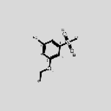 [CH2]COc1cc(F)cc(S(C)(=O)=O)c1